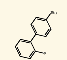 CC(C)(C)c1ccc(-c2cc[c]cc2F)cc1